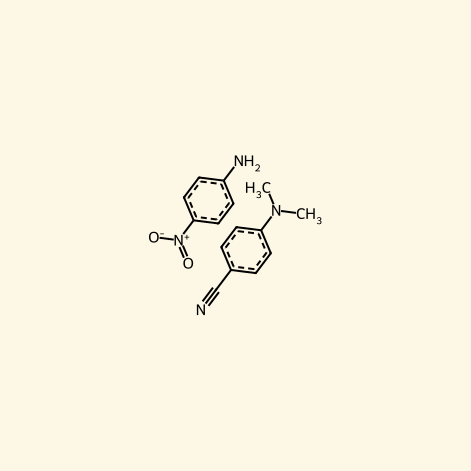 CN(C)c1ccc(C#N)cc1.Nc1ccc([N+](=O)[O-])cc1